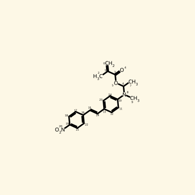 C=C(C)C(=O)OC(C)N(C)c1ccc(C=Cc2ccc([N+](=O)[O-])cc2)cc1